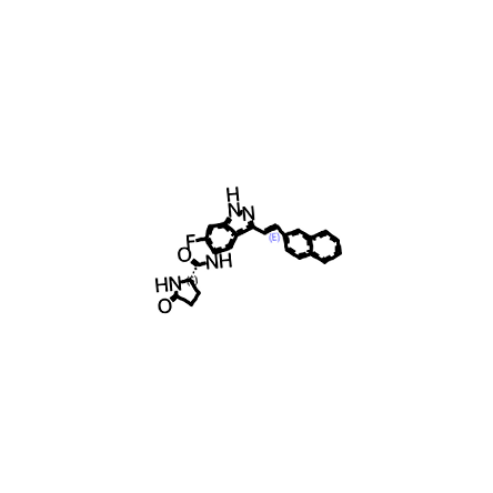 O=C1CC[C@@H](C(=O)Nc2cc3c(/C=C/c4ccc5ccccc5c4)n[nH]c3cc2F)N1